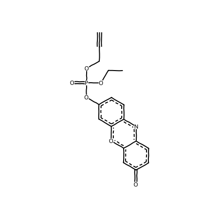 C#CCOP(=O)(OCC)Oc1ccc2nc3ccc(=O)cc-3oc2c1